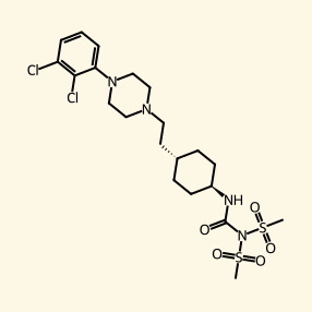 CS(=O)(=O)N(C(=O)N[C@H]1CC[C@H](CCN2CCN(c3cccc(Cl)c3Cl)CC2)CC1)S(C)(=O)=O